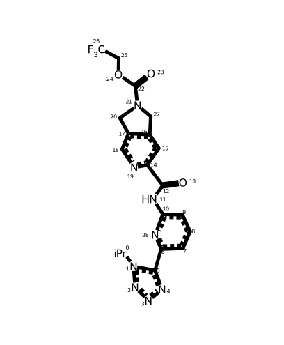 CC(C)n1nnnc1-c1cccc(NC(=O)c2cc3c(cn2)CN(C(=O)OCC(F)(F)F)C3)n1